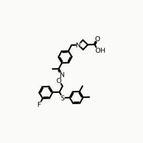 C/C(=N\OCC(Sc1ccc(C)c(C)c1)c1cccc(F)c1)c1ccc(CN2CC(C(=O)O)C2)cc1